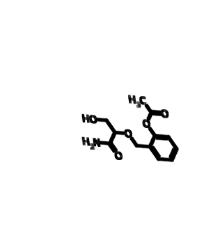 CC(=O)Oc1ccccc1COC(CO)C(N)=O